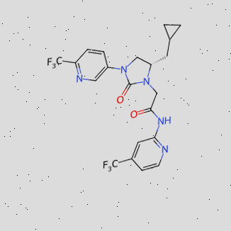 O=C(CN1C(=O)N(c2ccc(C(F)(F)F)nc2)C[C@@H]1CC1CC1)Nc1cc(C(F)(F)F)ccn1